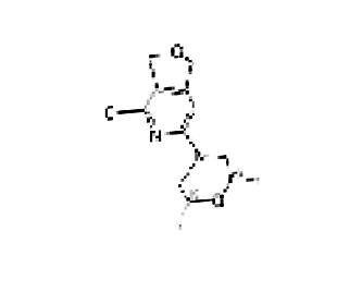 C[C@@H]1CN(c2cc3c(c(Cl)n2)COC3)C[C@H](C)O1